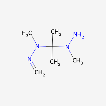 C=NN(C)C(C)(C)N(C)N